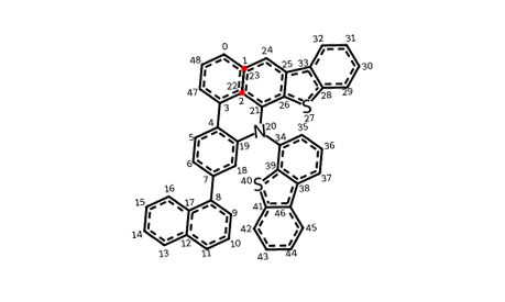 c1ccc(-c2ccc(-c3cccc4ccccc34)cc2N(c2cccc3c2sc2ccccc23)c2cccc3c2sc2ccccc23)cc1